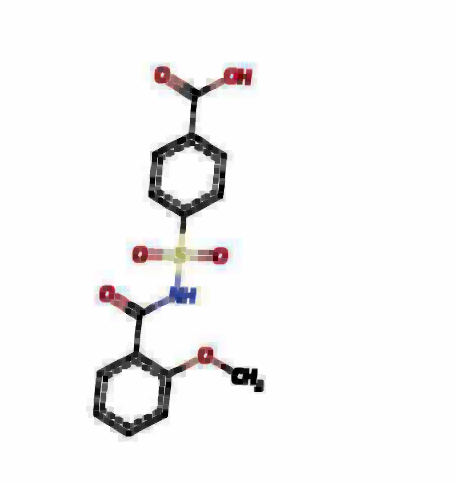 COc1ccccc1C(=O)NS(=O)(=O)c1ccc(C(=O)O)cc1